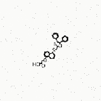 O=C(O)COc1cccc2c1CCCC2SCc1nc(-c2ccccc2)c(-c2ccccc2)o1